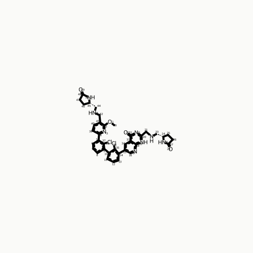 COc1nc(-c2cccc(-c3cccc(-c4cnc5[nH]c(CNC[C@@H]6CCC(=O)N6)nc(=O)c5c4)c3Cl)c2Cl)ccc1CNC[C@@H]1CCC(=O)N1